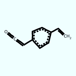 C=Cc1ccc(C=C=O)cc1